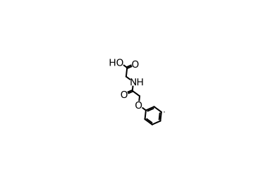 O=C(O)CNC(=O)COc1c[c]ccc1